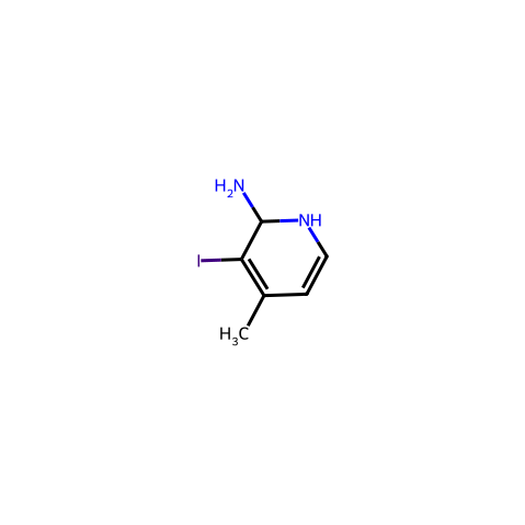 CC1=C(I)C(N)NC=C1